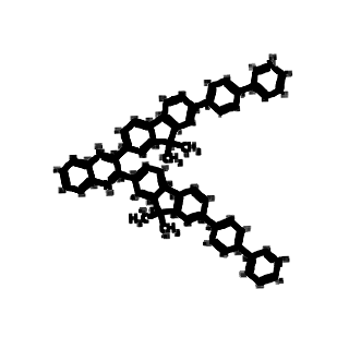 CC1(C)c2cc(-c3ccc(-c4cccnc4)cc3)ccc2-c2ccc(-c3nc4ccccc4nc3-c3ccc4c(c3)C(C)(C)c3cc(-c5ccc(-c6cccnc6)cc5)ccc3-4)cc21